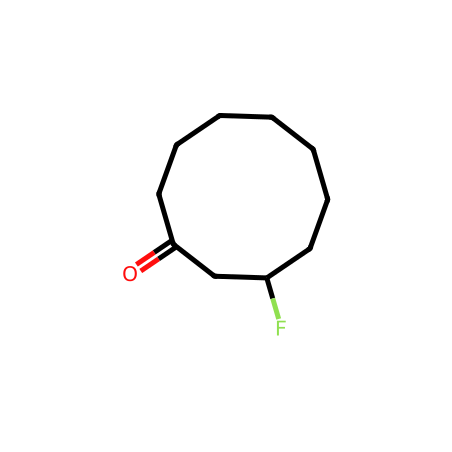 O=C1CCCCCCCC(F)C1